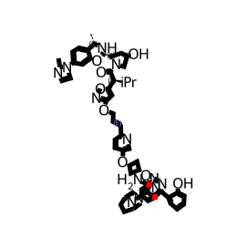 Cc1nccn1-c1ccc([C@H](C)NC(=O)[C@@H]2C[C@@H](O)CN2C(=O)[C@H](c2cc(OC/C=C/c3ccc(O[C@H]4C[C@H](Oc5cc(N6C7CCC6CN(c6cc(-c8ccccc8O)nnc6N)C7)ccn5)C4)cn3)no2)C(C)C)cc1